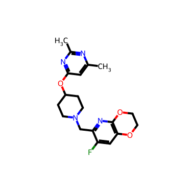 Cc1cc(OC2CCN(Cc3nc4c(cc3F)OCCO4)CC2)nc(C)n1